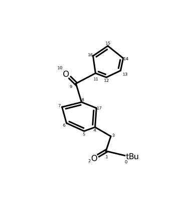 CC(C)(C)C(=O)Cc1cccc(C(=O)c2ccccc2)c1